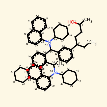 CCC(CCC(C)O)c1cccc(C(c2ccc(C3CCCCC3)cc2C(C)N(c2cccc3ccccc23)C2CCCCC2)N(c2cccc3ccccc23)C2CCCCC2)c1